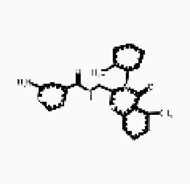 Cc1ccccc1-n1c(CNC(=O)c2ccnc(N)c2)nc2cccc(C)c2c1=O